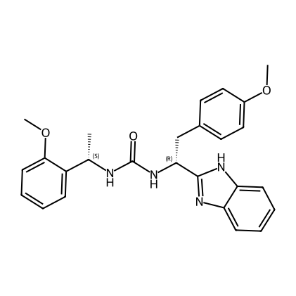 COc1ccc(C[C@@H](NC(=O)N[C@@H](C)c2ccccc2OC)c2nc3ccccc3[nH]2)cc1